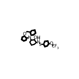 OC1C(NSc2ccc(OC(F)(F)F)cc2)CCCC1N1c2ccccc2COc2ccccc21